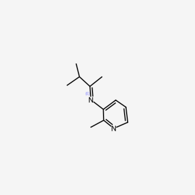 C/C(=N\c1cccnc1C)C(C)C